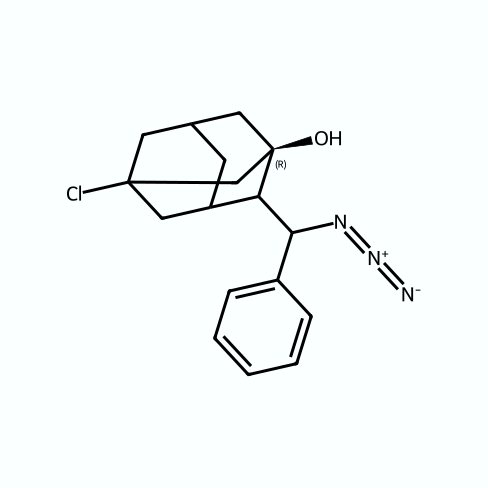 [N-]=[N+]=NC(c1ccccc1)C1C2CC3CC(Cl)(C2)C[C@]1(O)C3